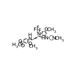 COc1cc(NC2CCN(C)CC2)c2cc(C#CCNc3ccc(S(C)(=O)=O)cc3OC)n(CC(F)(F)F)c2c1